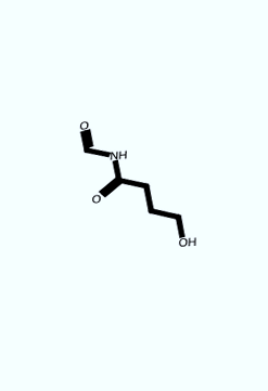 O=CNC(=O)CCCO